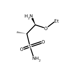 CCO[C@H](N)[C@@H](C)S(N)(=O)=O